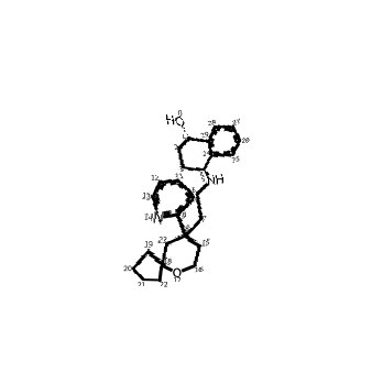 O[C@H]1CC[C@H](NCCC2(c3ccccn3)CCOC3(CCCC3)C2)c2ccccc21